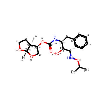 CCC(CC)ONC[C@@H](O)[C@H](Cc1ccccc1)NC(=O)O[C@H]1CO[C@H]2OCC[C@H]21